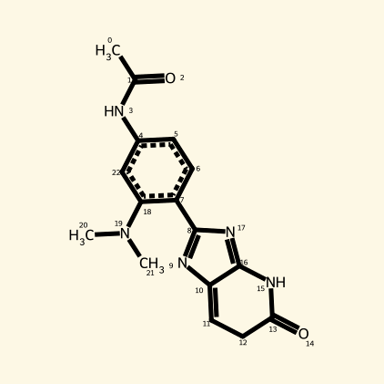 CC(=O)Nc1ccc(C2=NC3=CCC(=O)NC3=N2)c(N(C)C)c1